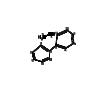 NO.c1ccc(-c2ccccc2)cc1